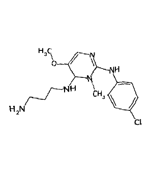 COC1=CN=C(Nc2ccc(Cl)cc2)N(C)C1NCCCN